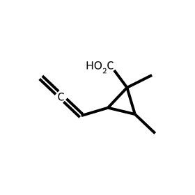 C=C=CC1C(C)C1(C)C(=O)O